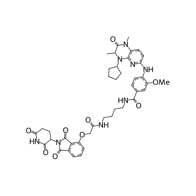 COc1cc(C(=O)NCCCCNC(=O)COc2cccc3c2C(=O)N(C2CCC(=O)NC2=O)C3=O)ccc1Nc1ccc2c(n1)N(C1CCCC1)C(C)C(=O)N2C